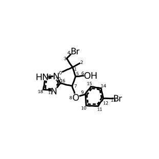 CC(C)(CBr)C(O)C(Oc1ccc(Br)cc1)c1nc[nH]n1